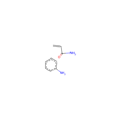 C=CC(N)=O.Nc1ccccc1